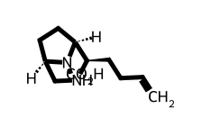 C=CCC[C@H]1NC[C@H]2CC[C@@H]1N2C(=O)O